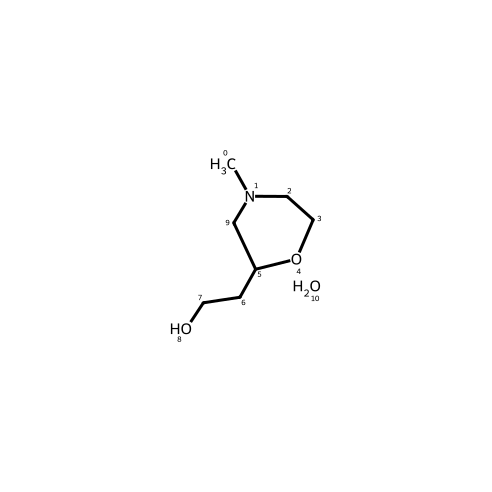 CN1CCOC(CCO)C1.O